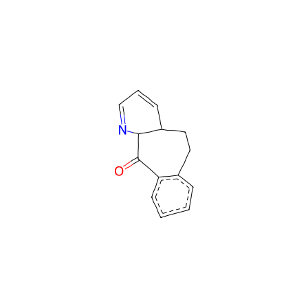 O=C1c2ccccc2CCC2C=CC=NC12